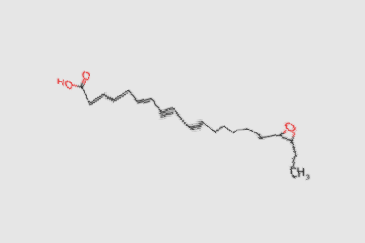 CCC1OC1CCCCCCCC=CC=CC=CC=CC(=O)O